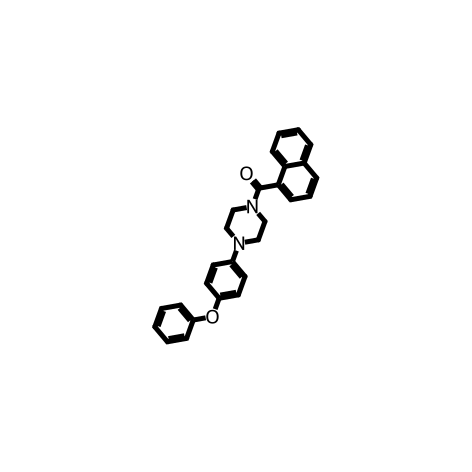 O=C(c1cccc2ccccc12)N1CCN(c2ccc(Oc3ccccc3)cc2)CC1